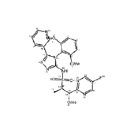 COc1cccc(OC)c1-n1c(NS(=O)(=O)[C@H](C)[C@@H](OC)c2ncc(F)cn2)nnc1-c1cccnc1